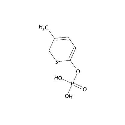 CC1=CC=C(OP(=O)(O)O)SC1